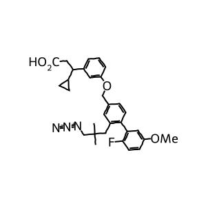 COc1ccc(F)c(-c2ccc(COc3cccc(C(CC(=O)O)C4CC4)c3)cc2CC(C)(C)CN=[N+]=[N-])c1